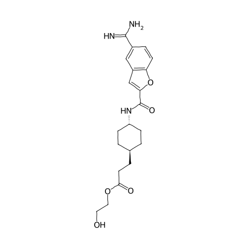 N=C(N)c1ccc2oc(C(=O)N[C@H]3CC[C@H](CCC(=O)OCCO)CC3)cc2c1